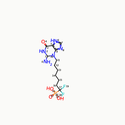 NC1NC(=O)c2[nH]cnc2N1CCCCCCC(F)(F)P(=O)(O)O